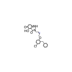 O=C1c2c(O)c(=O)ccn2NCN1C/C=C\COc1ccc(Cl)cc1Cc1ccccc1